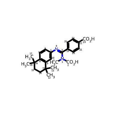 CN(C(=O)O)C(=Nc1ccc2c(c1)C(C)(C)CCC2(C)C)c1ccc(C(=O)O)cc1